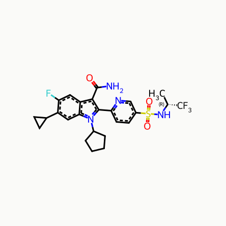 C[C@@H](NS(=O)(=O)c1ccc(-c2c(C(N)=O)c3cc(F)c(C4CC4)cc3n2C2CCCC2)nc1)C(F)(F)F